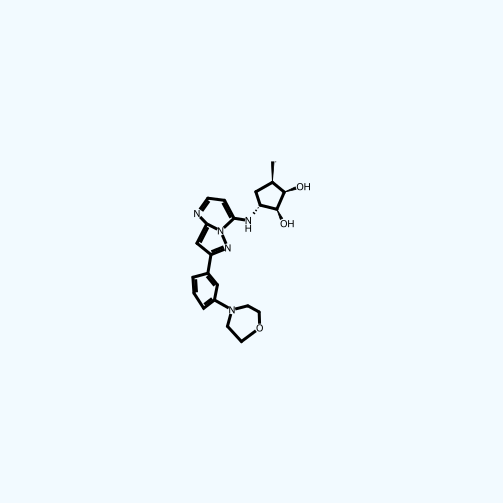 [CH2][C@@H]1C[C@@H](Nc2ccnc3cc(-c4cccc(N5CCOCC5)c4)nn23)[C@H](O)[C@@H]1O